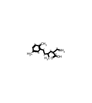 Cc1ccc(C)c(CCC(C)CC(CN)C(=O)O)c1